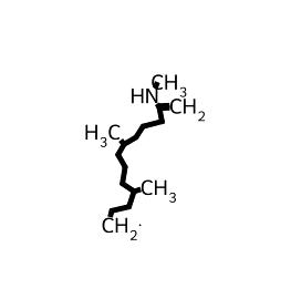 [CH2]CCC(C)CCCC(C)CCCC(=C)NC